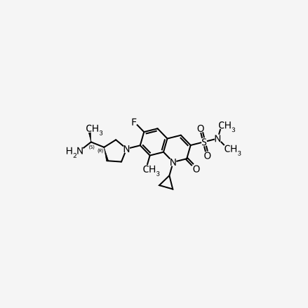 Cc1c(N2CC[C@@H]([C@H](C)N)C2)c(F)cc2cc(S(=O)(=O)N(C)C)c(=O)n(C3CC3)c12